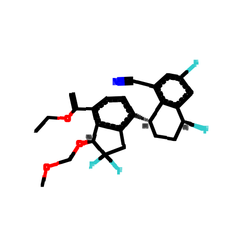 C=C(OCC)c1ccc([C@H]2CC[C@H](F)c3cc(F)cc(C#N)c32)c2c1[C@H](OCOC)C(F)(F)C2